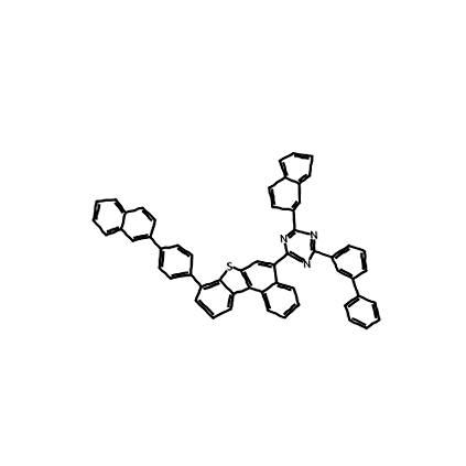 c1ccc(-c2cccc(-c3nc(-c4ccc5ccccc5c4)nc(-c4cc5sc6c(-c7ccc(-c8ccc9ccccc9c8)cc7)cccc6c5c5ccccc45)n3)c2)cc1